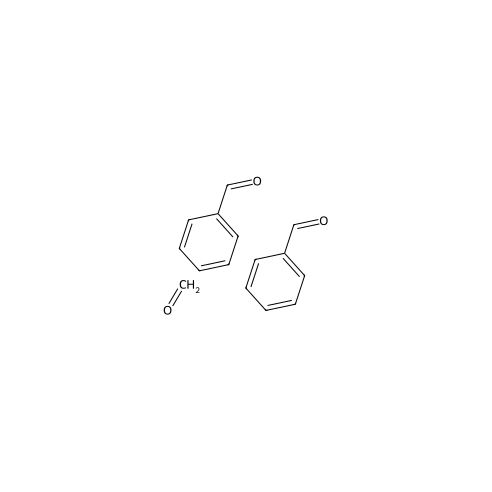 C=O.O=Cc1ccccc1.O=Cc1ccccc1